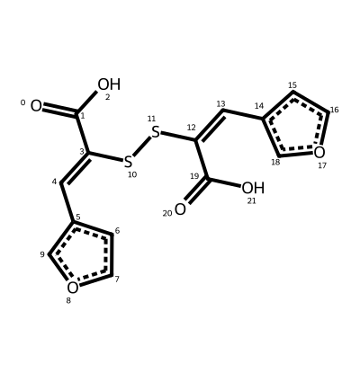 O=C(O)C(=Cc1ccoc1)SSC(=Cc1ccoc1)C(=O)O